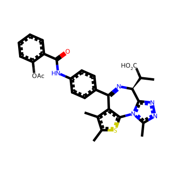 CC(=O)Oc1ccccc1C(=O)Nc1ccc(C2=N[C@@H](C(C)C(=O)O)c3nnc(C)n3-c3sc(C)c(C)c32)cc1